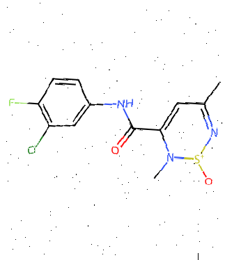 CC1=N[S+]([O-])N(C)C(C(=O)Nc2ccc(F)c(Cl)c2)=C1